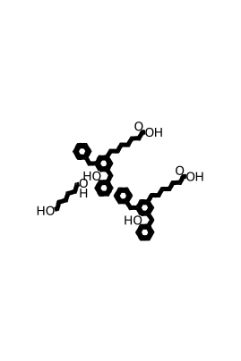 O=C(O)CCCCCCc1cc(Cc2ccccc2)c(O)c(Cc2ccccc2)c1.O=C(O)CCCCCCc1cc(Cc2ccccc2)c(O)c(Cc2ccccc2)c1.OCCCCCCO